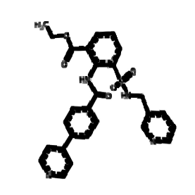 CCOC(=O)c1cccc(S(=O)(=O)NCc2cccnc2)c1NC(=O)c1ccc(-c2ccncc2)cc1